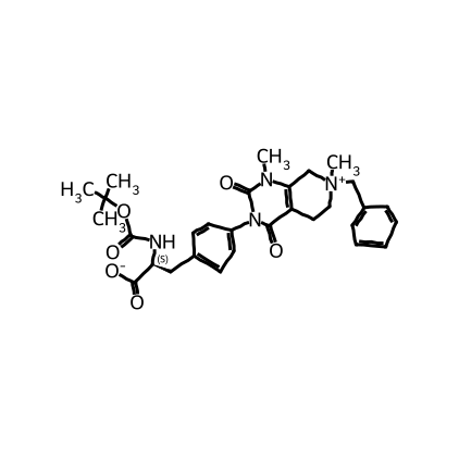 Cn1c2c(c(=O)n(-c3ccc(C[C@H](NC(=O)OC(C)(C)C)C(=O)[O-])cc3)c1=O)CC[N+](C)(Cc1ccccc1)C2